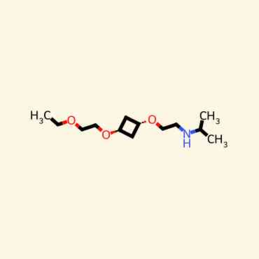 CCOCCO[C@H]1C[C@H](OCCNC(C)C)C1